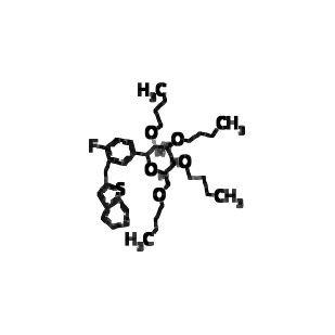 CCCCOC[C@H]1OC(c2ccc(F)c(Cc3cc4ccccc4s3)c2)[C@H](OCCCC)[C@@H](OCCCC)[C@@H]1OCCCC